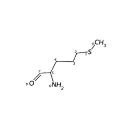 CSCCCC(N)C=O